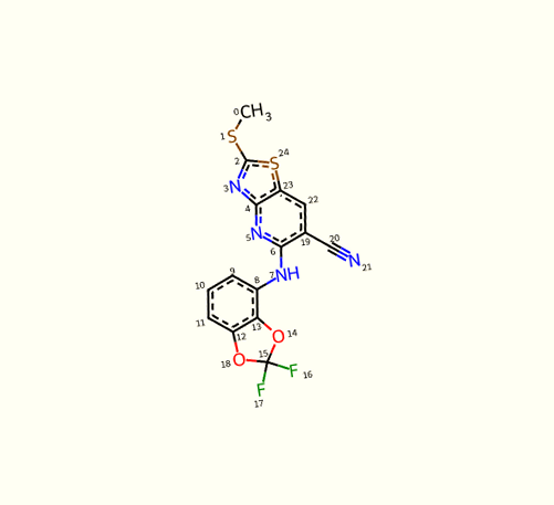 CSc1nc2nc(Nc3cccc4c3OC(F)(F)O4)c(C#N)cc2s1